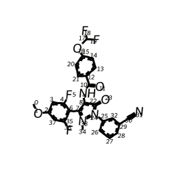 COc1cc(F)c(-c2c(NC(=O)c3ccc(OC(F)F)cc3)c(=O)n(-c3cccc(C#N)c3)n2C)c(F)c1